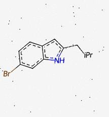 CC(C)Cc1cc2ccc(Br)cc2[nH]1